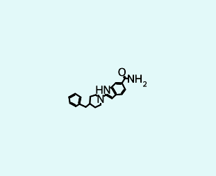 NC(=O)c1ccc2cc(N3CCC(Cc4ccccc4)CC3)[nH]c2c1